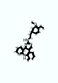 C=CC1=C(/C=C\C)c2cnc(NCCc3ccc(CC)c(OC)c3)nc2-c2cccnc2N1